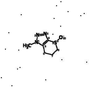 Cn1nnc2c1CCC[S+]2[O-]